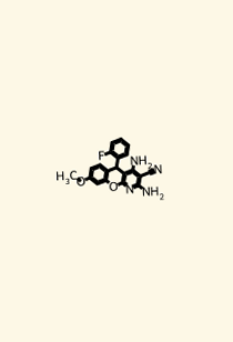 COc1ccc2c(c1)Oc1nc(N)c(C#N)c(N)c1C2c1ccccc1F